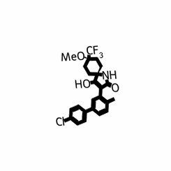 CO[C@]1(C(F)(F)F)CC[C@@]2(CC1)NC(=O)C(c1cc(-c3ccc(Cl)cc3)ccc1C)=C2O